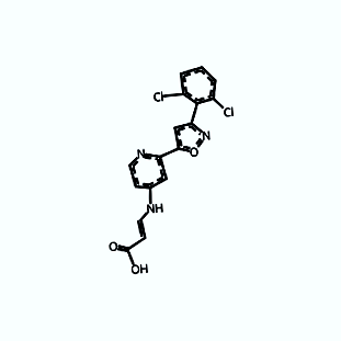 O=C(O)C=CNc1ccnc(-c2cc(-c3c(Cl)cccc3Cl)no2)c1